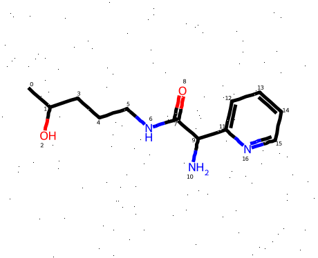 CC(O)CCCNC(=O)C(N)c1ccccn1